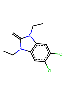 C=C1N(CC)c2cc(Cl)c(Cl)cc2N1CC